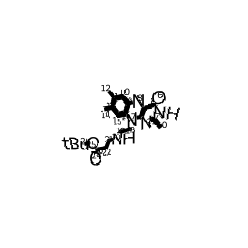 C=c1nc2c(c(=O)[nH]1)=Nc1cc(C)c(C)cc1N2CCNCCC(=O)OC(C)(C)C